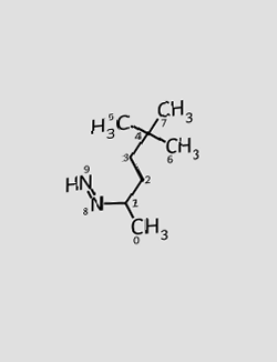 CC(CCC(C)(C)C)N=N